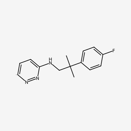 CC(C)(CNc1cc[c]nn1)c1ccc(F)cc1